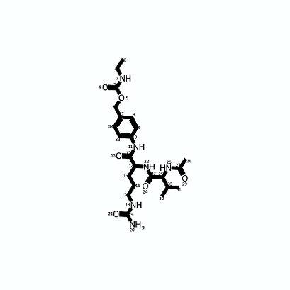 CCNC(=O)OCc1ccc(NC(=O)C(CCCNC(N)=O)NC(=O)C(NC(C)=O)C(C)C)cc1